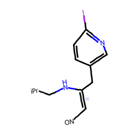 CC(C)CN/C(=C\N=O)Cc1ccc(I)nc1